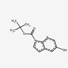 CC(C)(C)OC(=O)n1ccc2cc(O)cbc21